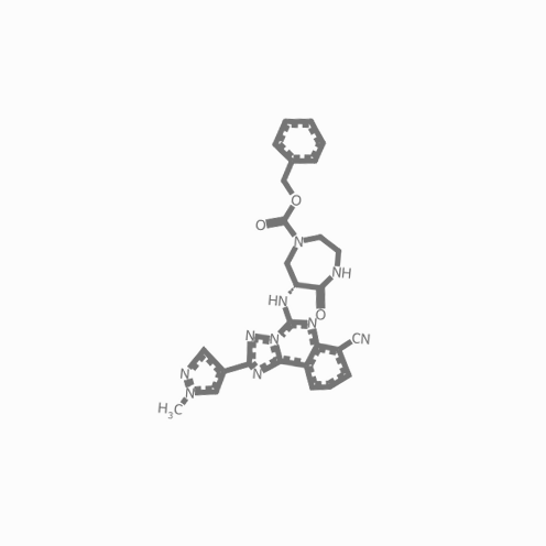 Cn1cc(-c2nc3c4cccc(C#N)c4nc(N[C@@H]4CN(C(=O)OCc5ccccc5)CCNC4=O)n3n2)cn1